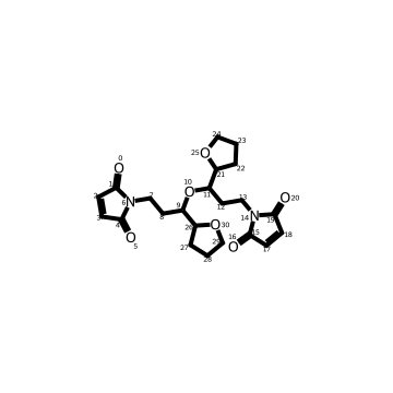 O=C1C=CC(=O)N1CCC(OC(CCN1C(=O)C=CC1=O)C1CCCO1)C1CCCO1